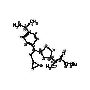 C[C@H](N)c1ccc(C(CC2CC2)N2CC[C@@H](N(C)C(=O)OC(C)(C)C)C2)cc1